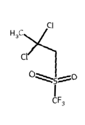 CC(Cl)(Cl)CS(=O)(=O)C(F)(F)F